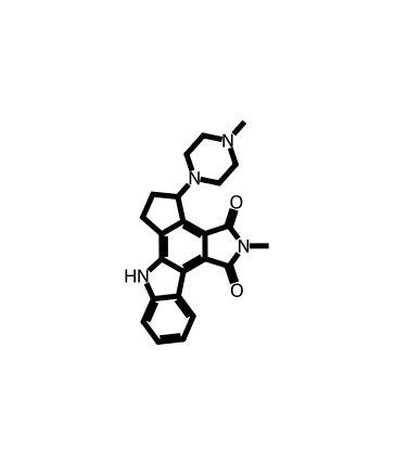 CN1CCN(C2CCc3c2c2c(c4c3[nH]c3ccccc34)C(=O)N(C)C2=O)CC1